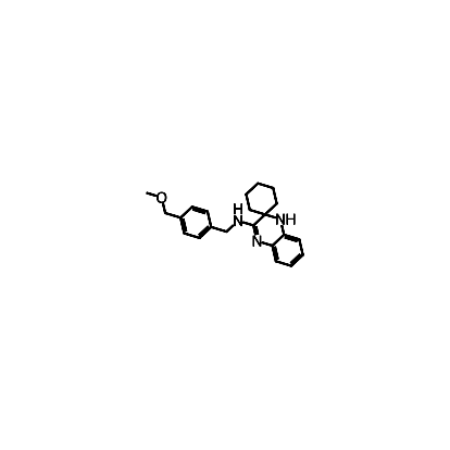 COCc1ccc(CNC2=Nc3ccccc3NC23CCCCC3)cc1